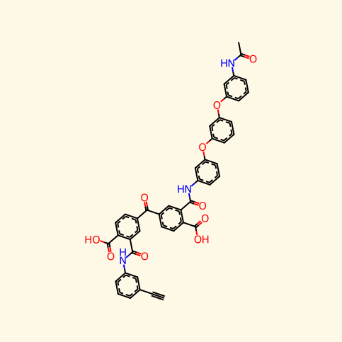 C#Cc1cccc(NC(=O)c2cc(C(=O)c3ccc(C(=O)O)c(C(=O)Nc4cccc(Oc5cccc(Oc6cccc(NC(C)=O)c6)c5)c4)c3)ccc2C(=O)O)c1